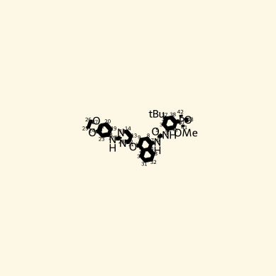 COc1c(NC(=O)Nc2ccc(Oc3ccnc(Nc4ccc5c(c4)OCCO5)n3)c3ccccc23)cc(C(C)(C)C)cc1P(C)(C)=O